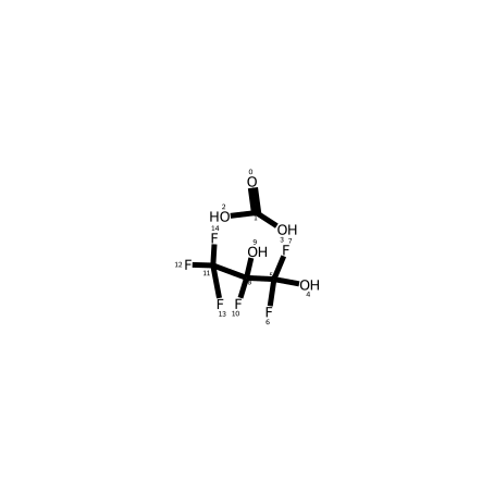 O=C(O)O.OC(F)(F)C(O)(F)C(F)(F)F